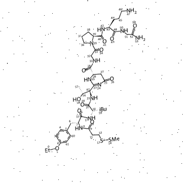 CCOc1ccc(C[C@@H](NC(=O)CCSSC)C(=O)N[C@H](C(=O)N[C@H](C2=NC(=O)C[C@@H](C(=O)NCC(=O)N3CCC[C@H]3C(=O)N[C@@H](CCCN)C(=O)NCC(N)=O)N2)[C@@H](C)O)[C@@H](C)CC)cc1